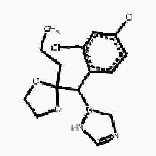 CCCC1(C(c2ccc(Cl)cc2Cl)N2CN=CN2)OCCO1